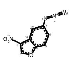 [N-]=[N+]=Nc1ccc2occ([N+](=O)[O-])c2c1